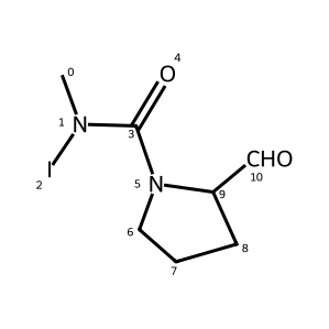 CN(I)C(=O)N1CCCC1C=O